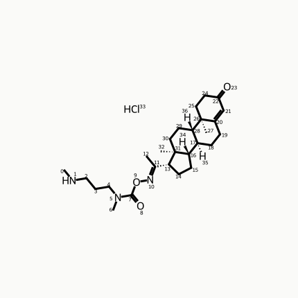 CNCCCN(C)C(=O)O/N=C(\C)[C@H]1CC[C@H]2[C@@H]3CCC4=CC(=O)CC[C@]4(C)[C@H]3CC[C@]12C.Cl